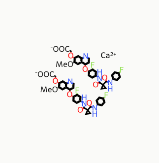 COc1cc2c(Oc3ccc(NC(=O)C4(C(=O)Nc5ccc(F)cc5)CC4)cc3F)ccnc2cc1OCC(=O)[O-].COc1cc2c(Oc3ccc(NC(=O)C4(C(=O)Nc5ccc(F)cc5)CC4)cc3F)ccnc2cc1OCC(=O)[O-].[Ca+2]